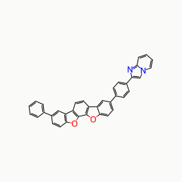 c1ccc(-c2ccc3oc4c(ccc5c6cc(-c7ccc(-c8cn9ccccc9n8)cc7)ccc6oc54)c3c2)cc1